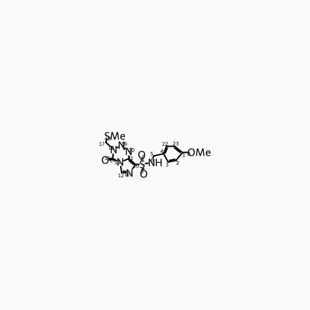 COc1ccc(CNS(=O)(=O)c2ncn3c(=O)n(CSC)nnc23)cc1